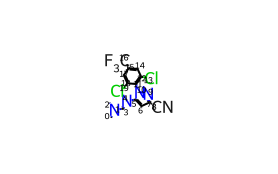 CN(C)C=Nc1cc(C#N)nn1-c1c(Cl)cc(C(F)(F)F)cc1Cl